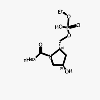 CCCCCCC(=O)N1C[C@H](O)C[C@H]1COP(=O)(O)OCC